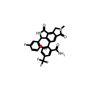 CN1Cc2c(cc(-c3c(F)cc(C(F)(F)F)cc3C(N)=O)c3c2C(=O)NC3c2cc(F)ccc2Cl)C1=O